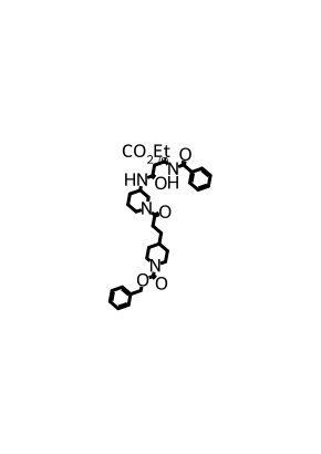 CCOC(=O)[C@H](CC(=O)NC1CCCN(C(=O)CCC2CCN(C(=O)OCc3ccccc3)CC2)C1)NC(=O)c1ccccc1